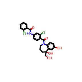 O=C(Nc1ccc(C(=O)N2CCCC(O)(CO)c3cc(O)ccc32)c(Cl)c1)c1ccccc1Cl